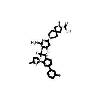 Cc1ccn(-c2cc(-c3cccc(F)c3)ccc2[C@@H](Oc2cc(N3CCC4(CC3)CN[C@H](C(=O)O)C4)nc(N)n2)C(F)(F)F)n1